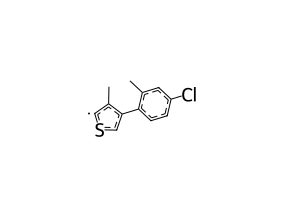 Cc1[c]scc1-c1ccc(Cl)cc1C